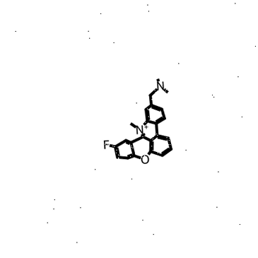 CN(C)Cc1ccc2c3cccc4c3c([n+](C)c2c1)-c1cc(F)ccc1O4